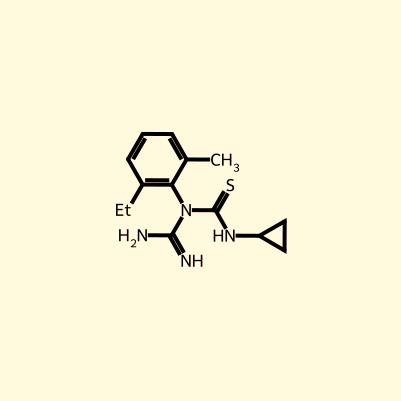 CCc1cccc(C)c1N(C(=N)N)C(=S)NC1CC1